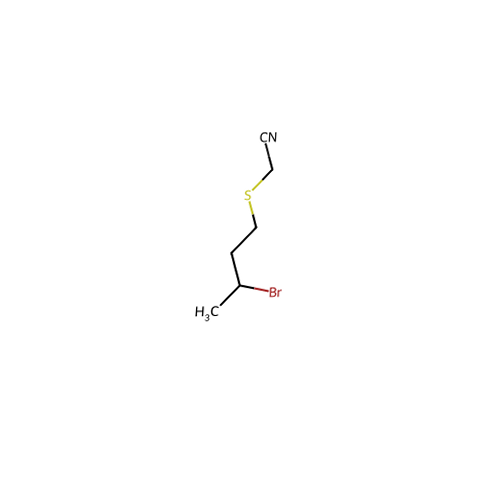 CC(Br)CCSCC#N